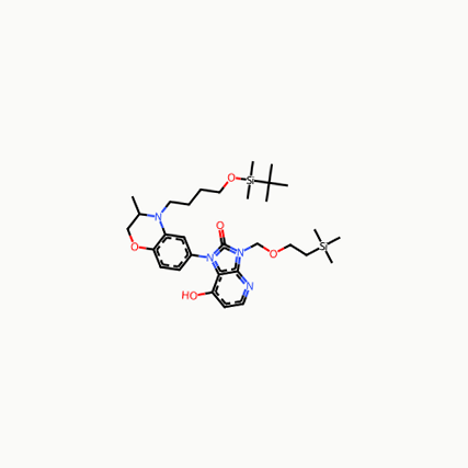 CC1COc2ccc(-n3c(=O)n(COCC[Si](C)(C)C)c4nccc(O)c43)cc2N1CCCCO[Si](C)(C)C(C)(C)C